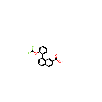 O=C(O)c1ccc2cccc(-c3ccccc3OC(F)F)c2c1